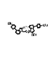 CCCC1=Cc2c(-c3ccc(C(C)CC)cc3)cccc2C1C[SiH2]CC1C(CCC)=Cc2c(-c3ccc(C(C)CC)cc3)cccc21